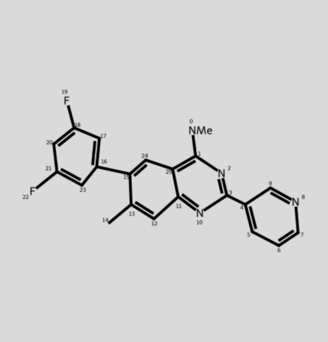 CNc1nc(-c2cccnc2)nc2cc(C)c(-c3cc(F)cc(F)c3)cc12